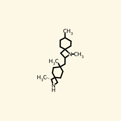 CC1CCC2(CC1)CC(CC1(C)CCC3(CC1)CN[C@@H]3C)N2C